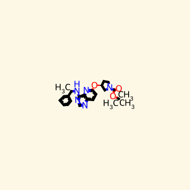 C[C@@H](Nc1ncnc2ccc(O[C@H]3CCN(C(=O)OC(C)(C)C)C3)nc12)c1ccccc1